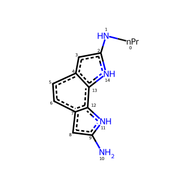 CCCNc1cc2ccc3cc(N)[nH]c3c2[nH]1